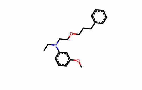 CCN(CCOCCCc1ccccc1)c1cccc(OC)c1